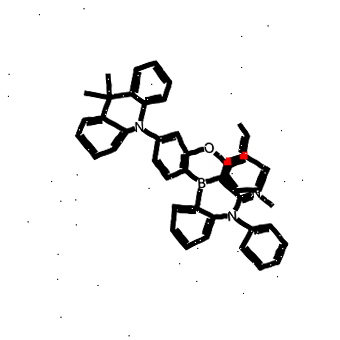 C\C=C/C=C\C(=N\C)N(c1ccccc1)c1ccccc1B1c2ccccc2Oc2cc(N3c4ccccc4C(C)(C)c4ccccc43)ccc21